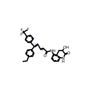 CCc1ccc(/C(=C\C=C\C(=O)Nc2cccc3c2CC(O)C(=O)N3)c2ccc(C(F)(F)F)cc2)cc1